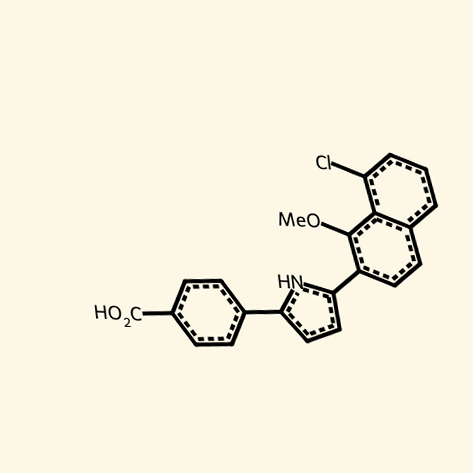 COc1c(-c2ccc(-c3ccc(C(=O)O)cc3)[nH]2)ccc2cccc(Cl)c12